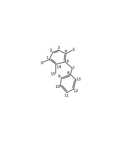 Cc1ccc(C)c(Cc2ccccc2)c1C